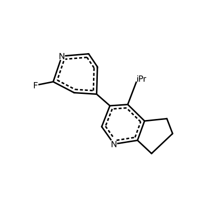 CC(C)c1c(-c2ccnc(F)c2)cnc2c1CCC2